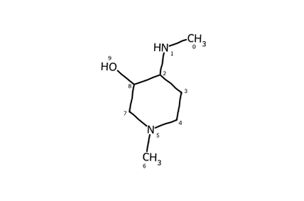 CNC1CCN(C)CC1O